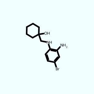 Nc1cc(Br)ccc1NCC1(O)CCCCC1